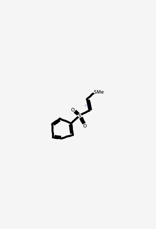 CS/C=C/S(=O)(=O)c1ccccc1